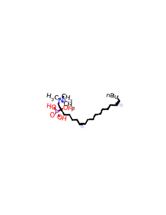 CCCC/C=C\CCCCCCC/C=C\CCCCC(O)(C[N+](C)(C)C)P(=O)(O)O